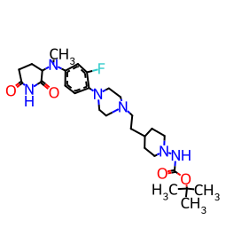 CN(c1ccc(N2CCN(CCC3CCN(NC(=O)OC(C)(C)C)CC3)CC2)c(F)c1)C1CCC(=O)NC1=O